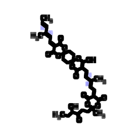 C/C=C/C(C)=C/C=C1C(=O)OC2(CCC3(CC2)OC(=O)C(/C=C/C(C)=C/C=C2C(=O)OC(C)(CCC(=O)C(O)CC)OC2=O)=C(O)O3)OC1=O